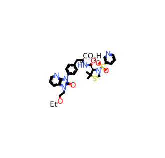 CCOCCn1c(=O)n(-c2ccc(C[C@H](NC(=O)[C@H]3N(S(=O)(=O)c4cccnc4)CSC3(C)C)C(=O)O)cc2)c2ncccc21